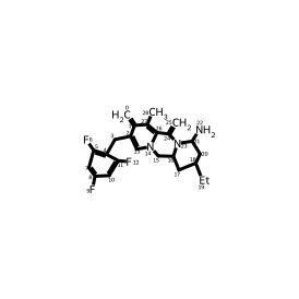 C=C1C(Cc2c(F)cc(F)cc2F)=CN2CC3CC(CC)CC(N)N3C(=C)C2=C1C